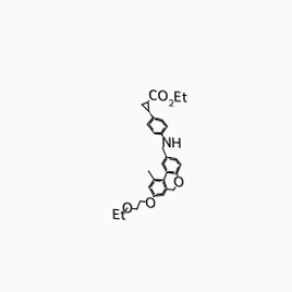 CCOCCOc1cc(C)c2c(c1)COc1ccc(CNc3ccc([C@H]4C[C@@H]4C(=O)OCC)cc3)cc1-2